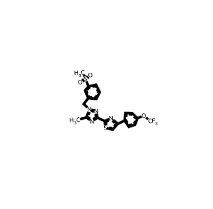 Cc1nc(-c2nc(-c3ccc(OC(F)(F)F)cc3)cs2)nn1Cc1cccc(S(C)(=O)=O)c1